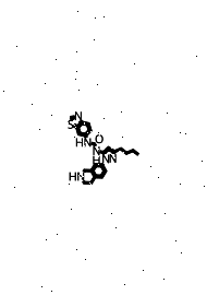 CCCCc1cc(NC(=O)Nc2ccc3ncsc3c2)n(-c2ccc3c(c2)CNCC3)n1